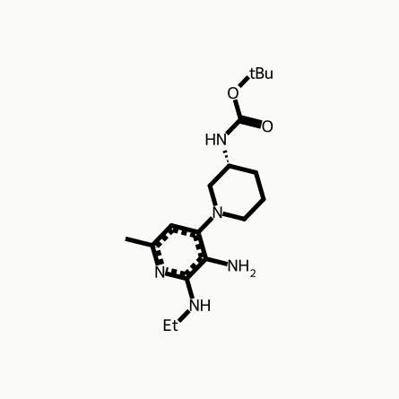 CCNc1nc(C)cc(N2CCC[C@@H](NC(=O)OC(C)(C)C)C2)c1N